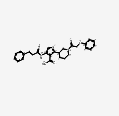 O=C(CCc1ccccc1)Nc1csc(C2CCCN(C(=O)COc3ccccc3)C2)c1C(=O)O